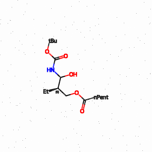 CCCCCC(=O)OC[C@@H](CC)C(O)NC(=O)OC(C)(C)C